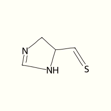 S=CC1CN=CN1